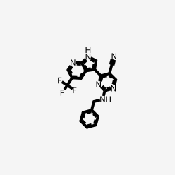 N#Cc1cnc(NCc2ccccc2)nc1-c1c[nH]c2ncc(C(F)(F)F)cc12